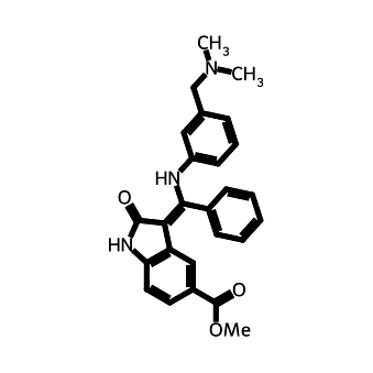 COC(=O)c1ccc2c(c1)/C(=C(/Nc1cccc(CN(C)C)c1)c1ccccc1)C(=O)N2